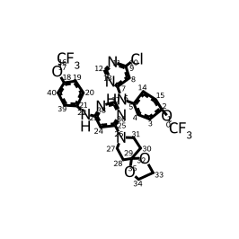 FC(F)(F)Oc1ccc(Nc2cc(Cl)ncn2)cc1.FC(F)(F)Oc1ccc(Nc2cc(N3CCC4(CC3)OCCO4)ncn2)cc1